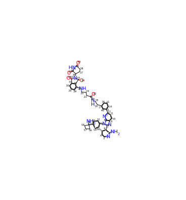 Nc1ncccc1-c1nc2ccc(-c3cccc(CCNC(=O)CCCNc4cccc5c4C(=O)N(C4CCC(=O)NC4=O)C5=O)c3)nc2n1-c1ccc(C2(N)CCC2)cc1